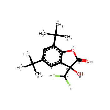 CC(C)(C)c1cc(C(C)(C)C)c2c(c1)C(O)(C(F)F)C(=O)O2